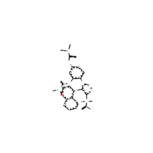 CN(C)C(=O)Oc1ccc(-n2nnc(S(C)(C)C(N)=O)c2-c2cccc3ccccc23)c(OC(=O)N(C)C)c1